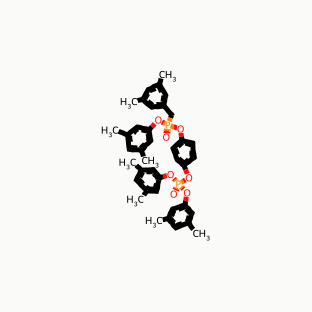 Cc1cc(C)cc(CP(=O)(Oc2ccc(OP(=O)(Oc3cc(C)cc(C)c3)Oc3cc(C)cc(C)c3)cc2)Oc2cc(C)cc(C)c2)c1